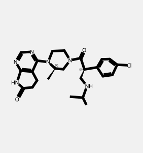 CC(C)NC[C@@H](C(=O)N1CCN(c2ncnc3c2CCC(=O)N3)[C@H](C)C1)c1ccc(Cl)cc1